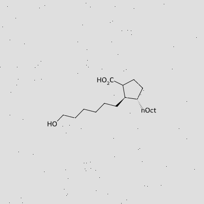 CCCCCCCC[C@H]1CCC(C(=O)O)[C@@H]1CCCCCCO